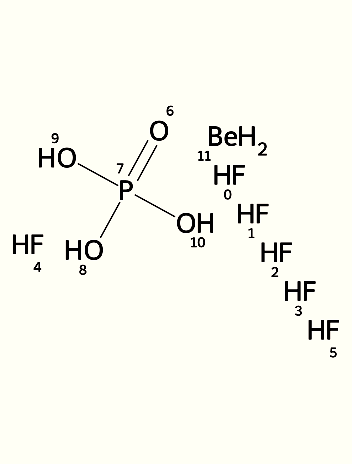 F.F.F.F.F.F.O=P(O)(O)O.[BeH2]